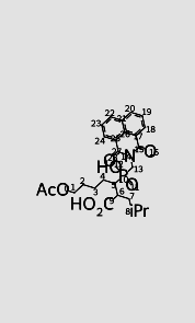 CC(=O)OCCCCC(C(CC(C)C)C(=O)O)P(=O)(O)CN1C(=O)c2cccc3cccc(c23)C1=O